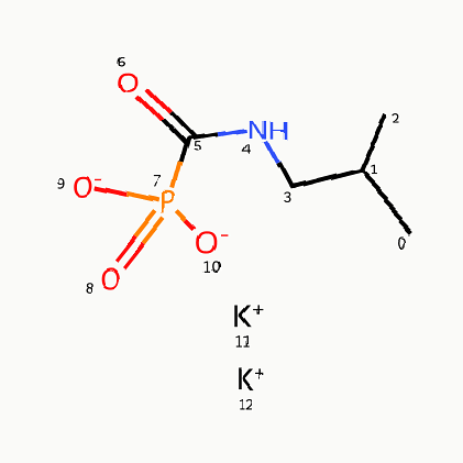 CC(C)CNC(=O)P(=O)([O-])[O-].[K+].[K+]